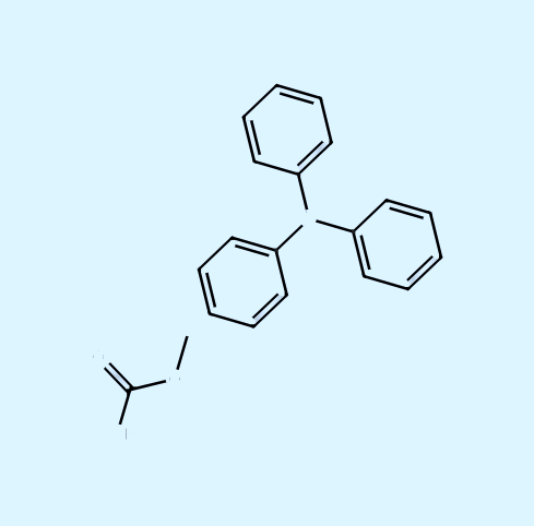 COC(=O)O.c1ccc(P(c2ccccc2)c2ccccc2)cc1